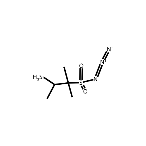 CC([SiH3])C(C)(C)S(=O)(=O)N=[N+]=[N-]